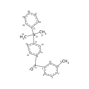 Cc1cccc(C(=O)c2ccc([Si](C)(C)c3ccccc3)cc2)c1